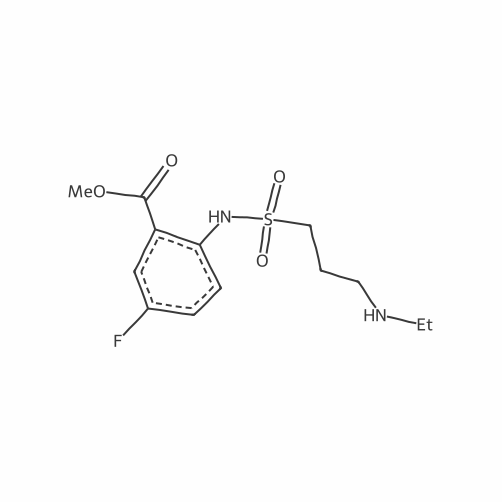 CCNCCCS(=O)(=O)Nc1ccc(F)cc1C(=O)OC